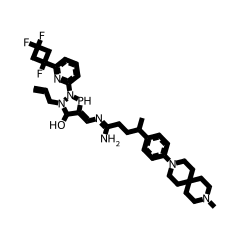 C=CCN1C(O)/C(=C/N=C(\N)CCC(C)c2ccc(N3CCC4(CCN(C)CC4)CC3)cc2)PN1c1cccc(C2(F)CC(F)(F)C2)n1